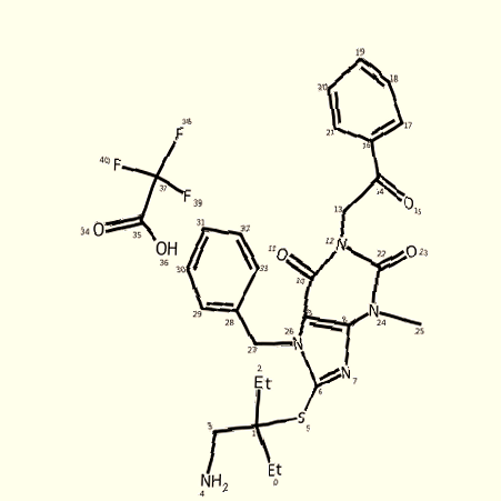 CCC(CC)(CN)Sc1nc2c(c(=O)n(CC(=O)c3ccccc3)c(=O)n2C)n1Cc1ccccc1.O=C(O)C(F)(F)F